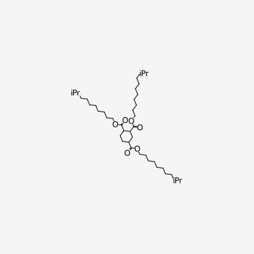 CC(C)CCCCCCCCOC(=O)C1CCC(C(=O)OCCCCCCCCC(C)C)C(C(=O)OCCCCCCCCC(C)C)C1